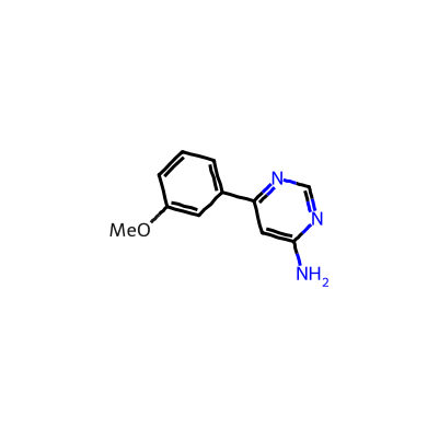 COc1cccc(-c2cc(N)ncn2)c1